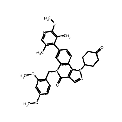 COc1ccc(Cn2c(=O)c3cnn(C4CCC(=O)CC4)c3c3ccc(-c4c(C)cnc(OC)c4C)cc32)c(OC)c1